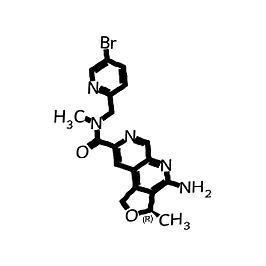 C[C@H]1OCc2c1c(N)nc1cnc(C(=O)N(C)Cc3ccc(Br)cn3)cc21